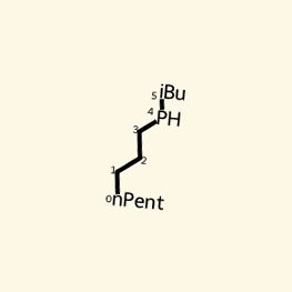 CCCCCCCCPC(C)CC